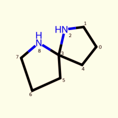 C1CNC2(C1)CCCN2